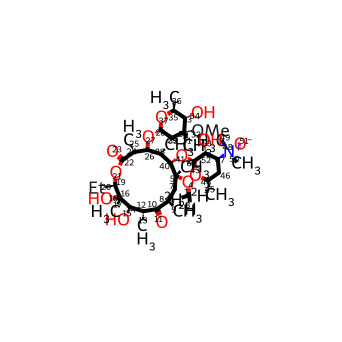 [2H]C([2H])([2H])O[C@]1(C)C[C@@H](C)C(=O)[C@H](C)[C@@H](O)[C@](C)(O)[C@@H](CC)OC(=O)[C@H](C)C(O[C@H]2C[C@@](C)(OC)[C@@H](O)[C@H](C)O2)[C@H](C)[C@H]1O[C@@H]1O[C@H](C)C[C@H]([N+](C)(C)[O-])[C@H]1O